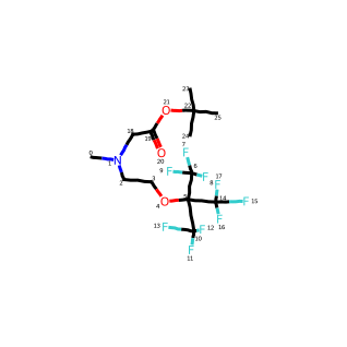 CN(CCOC(C(F)(F)F)(C(F)(F)F)C(F)(F)F)CC(=O)OC(C)(C)C